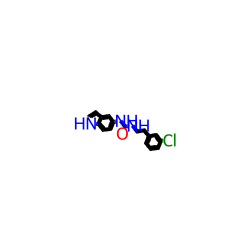 O=C(NCCc1cccc(Cl)c1)Nc1ccc2[nH]ccc2c1